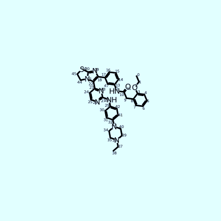 CCOc1ccccc1CC(=O)Nc1cccc(-c2nc3n(c2-c2ccnc(Nc4ccc(N5CCN(CC)CC5)cc4)n2)CCS3)c1